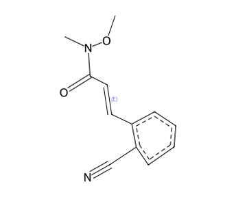 CON(C)C(=O)/C=C/c1ccccc1C#N